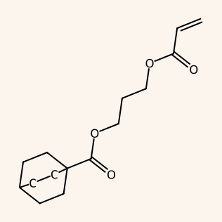 C=CC(=O)OCCCOC(=O)C12CCC(CC1)CC2